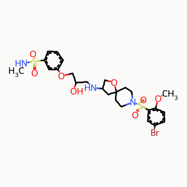 CNS(=O)(=O)c1cccc(OCC(O)CNC2COC3(CCN(S(=O)(=O)c4cc(Br)ccc4OC)CC3)C2)c1